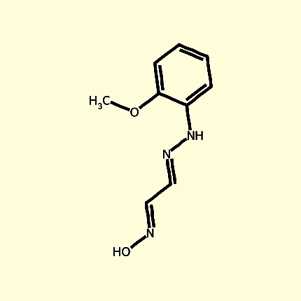 COc1ccccc1NN=CC=NO